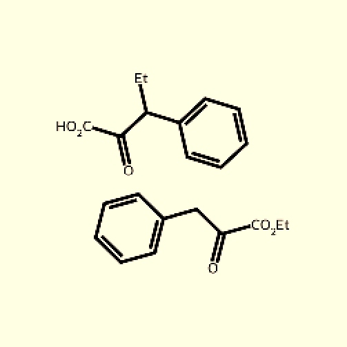 CCC(C(=O)C(=O)O)c1ccccc1.CCOC(=O)C(=O)Cc1ccccc1